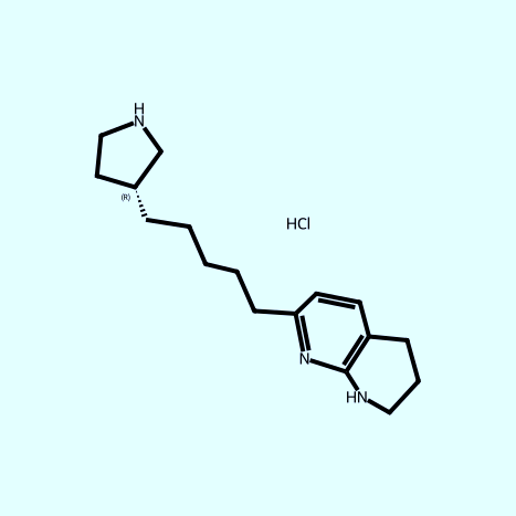 Cl.c1cc2c(nc1CCCCC[C@@H]1CCNC1)NCCC2